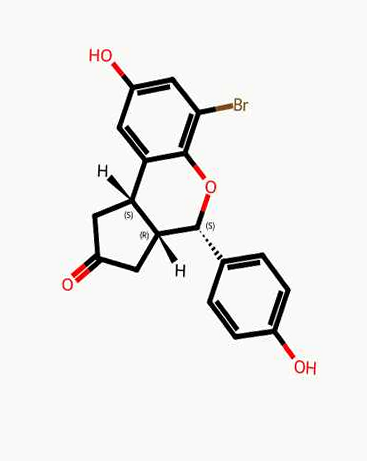 O=C1C[C@@H]2[C@H](C1)c1cc(O)cc(Br)c1O[C@@H]2c1ccc(O)cc1